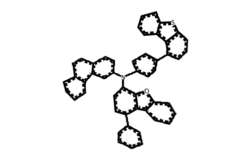 c1ccc(-c2ccc(N(c3ccc(-c4cccc5sc6ccccc6c45)cc3)c3ccc4ccc5ccccc5c4c3)c3oc4ccccc4c23)cc1